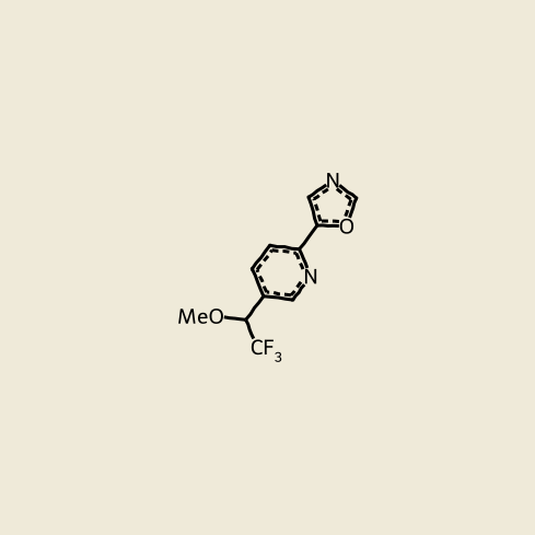 COC(c1ccc(-c2cnco2)nc1)C(F)(F)F